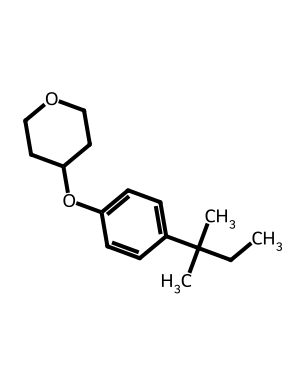 CCC(C)(C)c1ccc(OC2CCOCC2)cc1